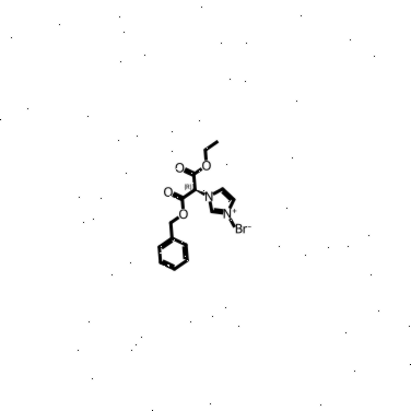 CCOC(=O)[C@H](C(=O)OCc1ccccc1)n1cc[n+](C)c1.[Br-]